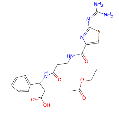 CCOC(C)=O.NC(N)=Nc1nc(C(=O)NCCC(=O)NC(CC(=O)O)c2ccccc2)cs1